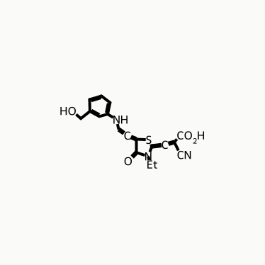 CCn1c(=C=C(C#N)C(=O)O)sc(=C=CNc2cccc(CO)c2)c1=O